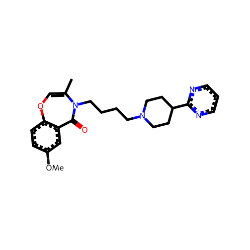 COc1ccc2c(c1)C(=O)N(CCCCN1CCC(c3ncccn3)CC1)C(C)=CO2